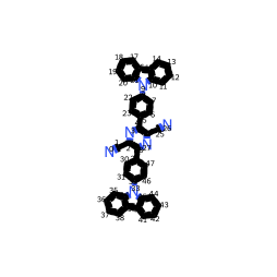 N#Cc1nc(-c2ccc(-n3c4ccccc4c4ccccc43)cc2)c(C#N)nc1-c1ccc(-n2c3ccccc3c3ccccc32)cc1